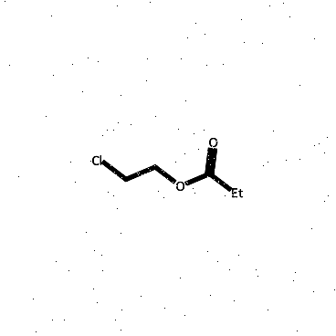 CCC(=O)OCCCl